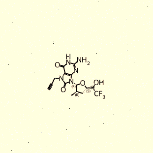 C#CCn1c(=O)n([C@@H]2O[C@H]([C@@H](O)C(F)(F)F)C[C@H]2C)c2nc(N)[nH]c(=O)c21